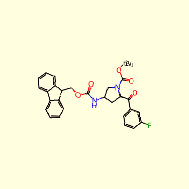 CC(C)(C)OC(=O)N1CC(NC(=O)OCC2c3ccccc3-c3ccccc32)CC1C(=O)c1cccc(F)c1